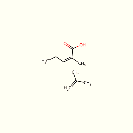 C=C(C)C.CCC=C(C)C(=O)O